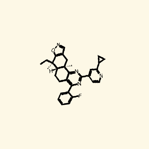 CC[C@@]1(C)c2oncc2C[C@@]2(C)c3nc(-c4ccnc(C5CC5)c4)nc(-c4ccccc4F)c3CC[C@@H]21